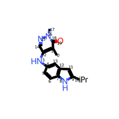 Cc1c(Nc2ccc3[nH]c(C(C)C)cc3c2)cnn(C)c1=O